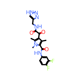 Cc1c(C(=O)C(=O)NCc2c[nH]nn2)c(C)n(C)c1C(=O)Nc1ccc(F)c(F)c1